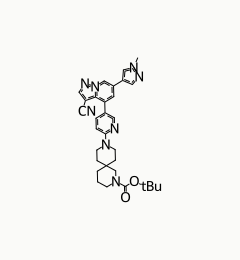 Cn1cc(-c2cc(-c3ccc(N4CCC5(CCCN(C(=O)OC(C)(C)C)C5)CC4)nc3)c3c(C#N)cnn3c2)cn1